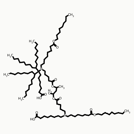 CCCCCCCCCOC(=O)CCCCCCCN(CCCCCCCC(=O)O)CCCCC(=O)OC(C)CC(C)OC(=O)CCCCN(CCCCCCCC(=O)OCCCCCCCCC)C(CCCCCCC(=O)O)(C(CCCCCCCC)CCCCCCCC)C(CCCCCCCC)CCCCCCCC